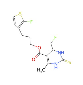 CC1=C(C(=O)OCCCc2ccsc2F)C(CF)NC(=S)N1